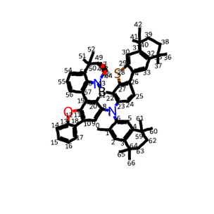 Cc1cc2c(cc1N1c3cc4c(oc5ccccc54)c4c3B(c3c1ccc1c3sc3cc5c(cc31)C(C)(C)CCC5(C)C)N1c3ccccc3C(C)(C)c3cccc-4c31)C(C)(C)CCC2(C)C